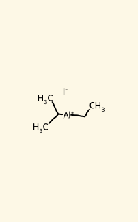 C[CH2][Al+][CH](C)C.[I-]